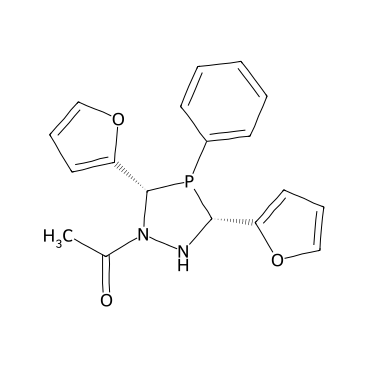 CC(=O)N1N[C@@H](c2ccco2)P(c2ccccc2)[C@H]1c1ccco1